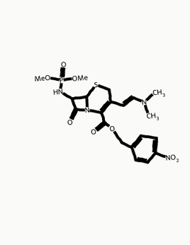 COP(=O)(NC1C(=O)N2C(C(=O)OCc3ccc([N+](=O)[O-])cc3)=C(C=CN(C)C)CSC12)OC